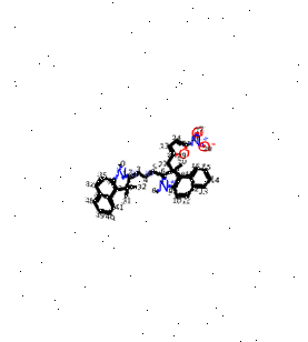 CN1/C(=C/C=C/C2=[N+](C)c3ccc4ccccc4c3C2(C)Cc2ccc([N+](=O)[O-])o2)C(C)(C)c2c1ccc1ccccc21